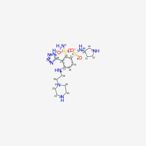 NS(=O)(=O)c1c(S(=O)(=O)N[C@@H]2CCNC2)ccc(NCCN2CCNCC2)c1-c1nnn[nH]1